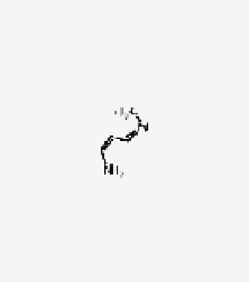 C/N=C\C=C/N